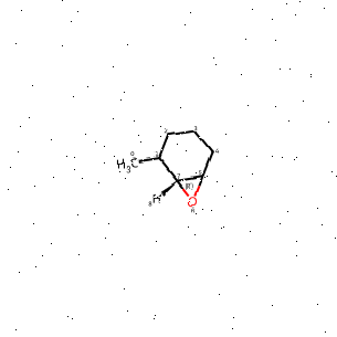 CC1CCCC2O[C@H]12